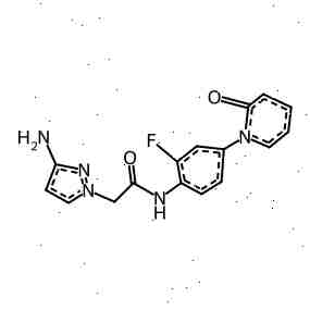 Nc1ccn(CC(=O)Nc2ccc(-n3ccccc3=O)cc2F)n1